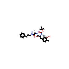 Cc1ccc(C[C@H](NC(=O)OC(C)(C)C)C(=O)N[C@H](C)C(=O)NCCCc2ccccc2)c(C)c1O